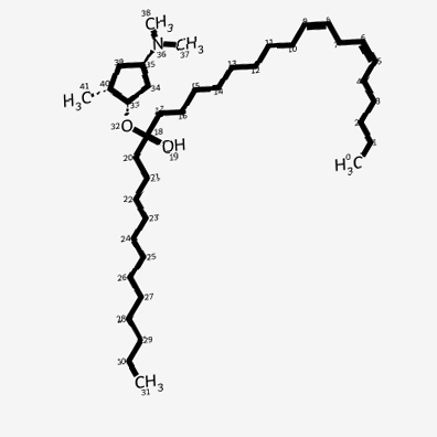 CCCCC/C=C\C/C=C\CCCCCCCCC(O)(CCCCCCCCCCCC)O[C@H]1C[C@H](N(C)C)C[C@H]1C